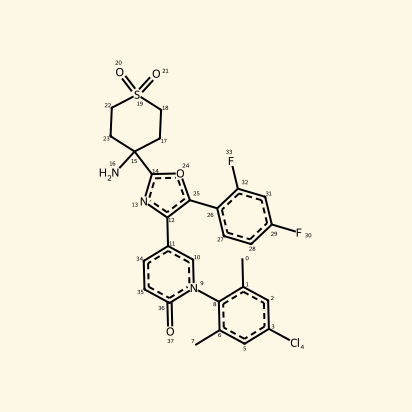 Cc1cc(Cl)cc(C)c1-n1cc(-c2nc(C3(N)CCS(=O)(=O)CC3)oc2-c2ccc(F)cc2F)ccc1=O